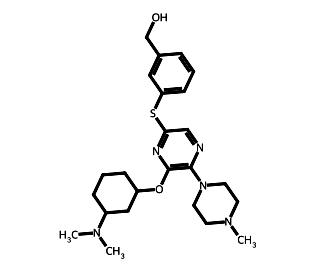 CN1CCN(c2ncc(Sc3cccc(CO)c3)nc2OC2CCCC(N(C)C)C2)CC1